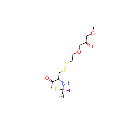 [3H]C(F)(I)NC(CSSCCOCC(=O)COC)C(C)=O